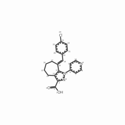 O=C(O)c1nn(-c2ccncc2)c2c1CCCCC2=Cc1ccc(Cl)cc1